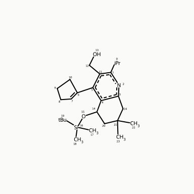 CC(C)c1nc2c(c(C3=CCCC3)c1CO)C(O[Si](C)(C)C(C)(C)C)CC(C)(C)C2